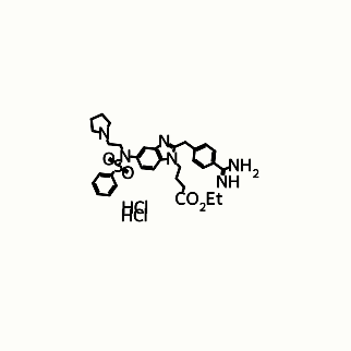 CCOC(=O)CCCn1c(Cc2ccc(C(=N)N)cc2)nc2cc(N(CCN3CCCC3)S(=O)(=O)c3ccccc3)ccc21.Cl.Cl